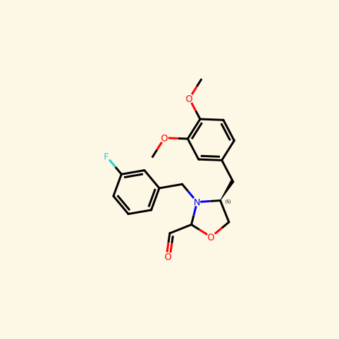 COc1ccc(C[C@H]2COC(C=O)N2Cc2cccc(F)c2)cc1OC